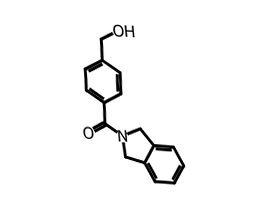 O=C(c1ccc(CO)cc1)N1Cc2ccccc2C1